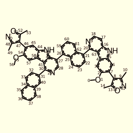 COc1cc2c(cc1-c1c(C)noc1C)[nH]c1ccnc(-c3cccc4c(-c5cnc(-c6ccc7ccccc7c6)c6c5[nH]c5cc(-c7c(C)noc7C)c(OC)cc56)cccc34)c12